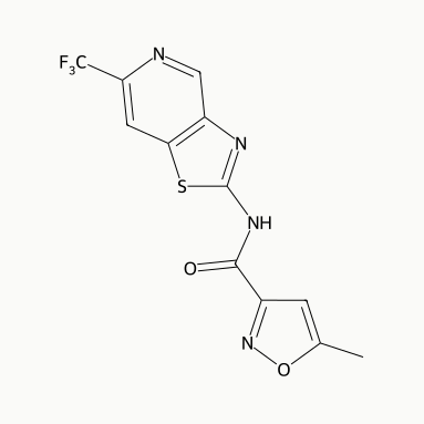 Cc1cc(C(=O)Nc2nc3cnc(C(F)(F)F)cc3s2)no1